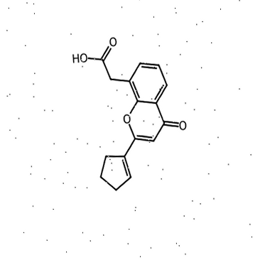 O=C(O)Cc1cccc2c(=O)cc(C3=CCCC3)oc12